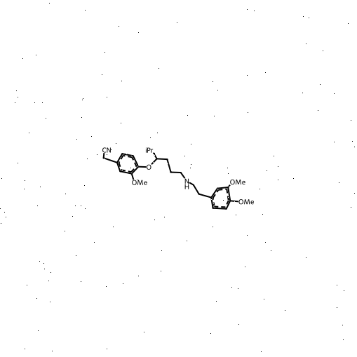 COc1ccc(CCNCCCC(Oc2ccc(CC#N)cc2OC)C(C)C)cc1OC